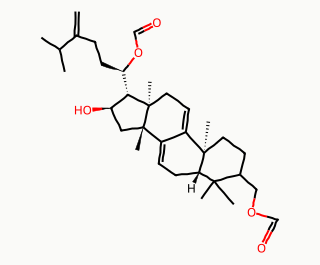 C=C(CC[C@@H](OC=O)[C@H]1[C@H](O)C[C@@]2(C)C3=CC[C@H]4C(C)(C)C(COC=O)CC[C@]4(C)C3=CC[C@]12C)C(C)C